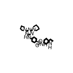 O=S(=O)(Nc1ccc2cc[nH]c2c1)c1ccc(Nc2nc(N3CCCCC3)nc(N3CCCC3)n2)cc1